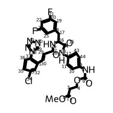 COC(=O)CCOC(=O)Nc1ccc(NC(=O)C(Cc2cc(F)cc(F)c2)NC(=O)C=Cc2cc(Cl)ccc2-n2cnnn2)cc1